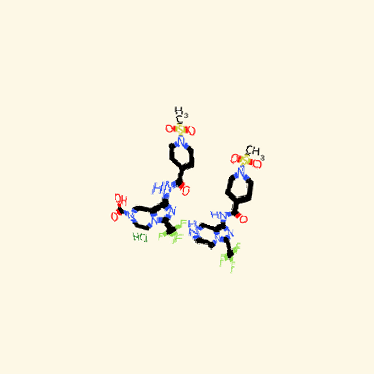 CS(=O)(=O)N1CCC(C(=O)Nc2nc(C(F)(F)F)n3c2CN(C(=O)O)CC3)CC1.CS(=O)(=O)N1CCC(C(=O)Nc2nc(C(F)(F)F)n3c2CNCC3)CC1.Cl